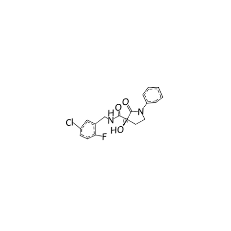 O=C(NCc1cc(Cl)ccc1F)[C@@]1(O)CCN(c2ccccc2)C1=O